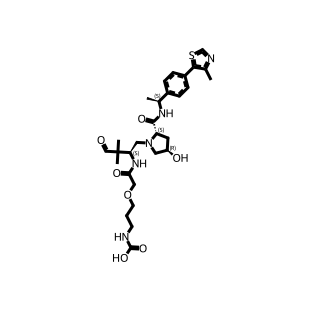 Cc1ncsc1-c1ccc([C@H](C)NC(=O)[C@@H]2C[C@@H](O)CN2C[C@@H](NC(=O)COCCCNC(=O)O)C(C)(C)C=O)cc1